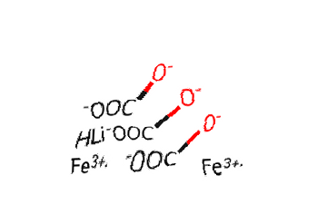 O=C([O-])[O-].O=C([O-])[O-].O=C([O-])[O-].[Fe+3].[Fe+3].[LiH]